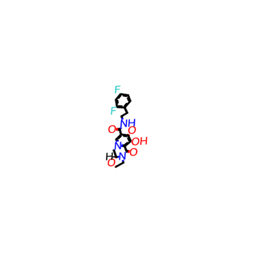 O=C(NCCc1ccc(F)cc1F)c1cn2c(c(O)c1=O)C(=O)N1CCO[C@@H]1C2